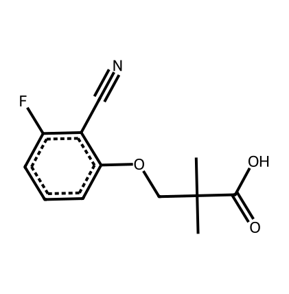 CC(C)(COc1cccc(F)c1C#N)C(=O)O